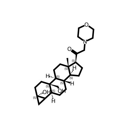 C[C@]12CC[C@H]3[C@@H](CC[C@H]4C5C[C@@]5(O)CC[C@@]43CO)[C@@H]1CC[C@@H]2C(=O)CN1CCOCC1